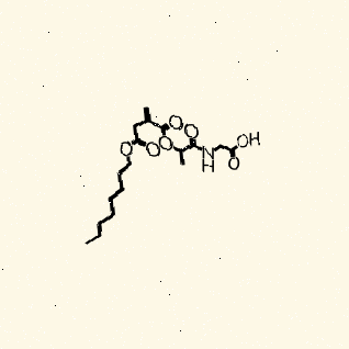 C=C(CC(=O)OCCCCCCCC)C(=O)OC(C)C(=O)NCC(=O)O